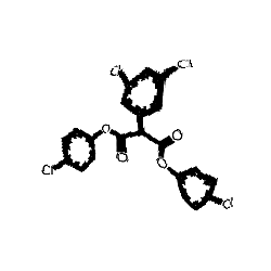 O=C(Oc1ccc(Cl)cc1)C(C(=O)Oc1ccc(Cl)cc1)c1cc(Cl)cc(Cl)c1